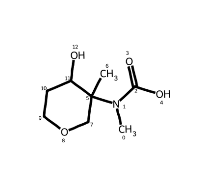 CN(C(=O)O)C1(C)COCCC1O